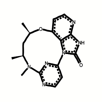 C[C@@H]1C[C@H](C)N(C)c2nccc(n2)-n2c(=O)[nH]c3nccc(c32)O1